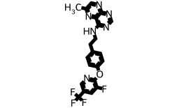 Cc1cnc2ncnc(NCCc3ccc(Oc4ncc(C(F)(F)F)cc4F)cc3)c2n1